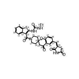 CCNC(=O)Nc1sc2ccccc2c1C(=O)N1CCC2(CC1)CC(=O)c1cc(C=C3SC(=O)NC3=O)ccc1O2